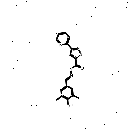 Cc1cc(/C=N/NC(=O)c2cc(-c3ccccn3)ns2)cc(C)c1O